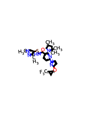 Cc1nn(C)cc1SNC(=O)c1ccc(-n2ccc(O[C@H]3C[C@@H]3C(F)(F)F)n2)nc1N1C[C@@H](C)CC1(C)C